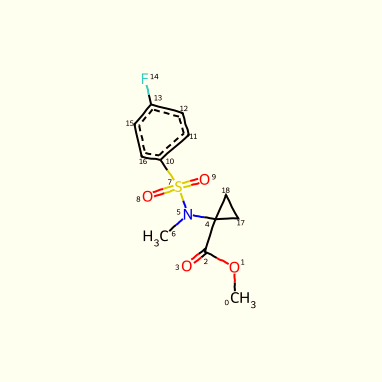 COC(=O)C1(N(C)S(=O)(=O)c2ccc(F)cc2)CC1